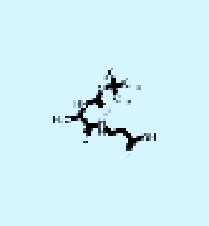 CC(NC(=O)OC(C)(C)C)C(=O)NCCC(=O)O